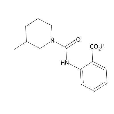 CC1CCCN(C(=O)Nc2ccccc2C(=O)O)C1